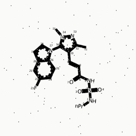 CCCNS(=O)(=O)NC(=O)C=Cc1c(C)nn(C)c1-n1ccc2cc(F)ccc21